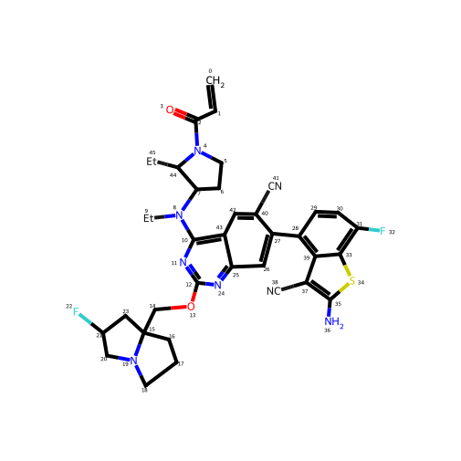 C=CC(=O)N1CCC(N(CC)c2nc(OCC34CCCN3CC(F)C4)nc3cc(-c4ccc(F)c5sc(N)c(C#N)c45)c(C#N)cc23)C1CC